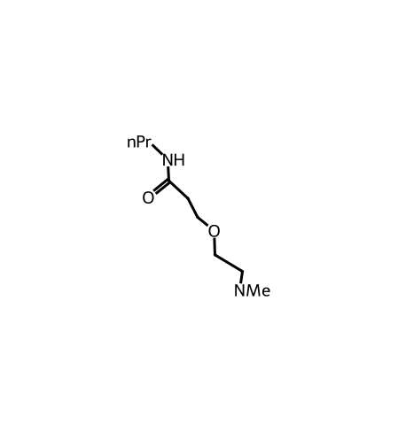 CCCNC(=O)CCOCCNC